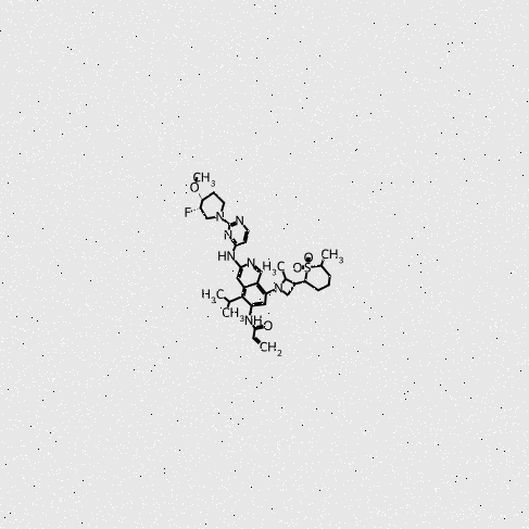 C=CC(=O)Nc1cc(N2CC(C3CCCC(C)S3(=O)=O)C2C)c2cnc(Nc3ccnc(N4CC[C@@H](OC)[C@@H](F)C4)n3)cc2c1C(C)C